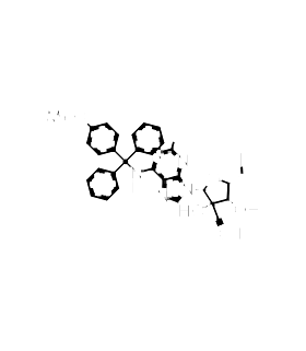 C#C[C@@]1(O)[C@H](O)[C@@H](CI)O[C@H]1n1cnc2c(NC(c3ccccc3)(c3ccccc3)c3ccc(OC)cc3)nc(F)nc21